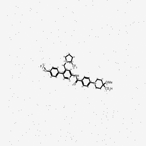 COC1(C(=O)O)CCN(c2ccc(C(=O)Nc3cc(CN4CCC[C@H]4C(F)(F)F)c(-c4ccc(OC(F)(F)F)cc4)cn3)cc2)CC1